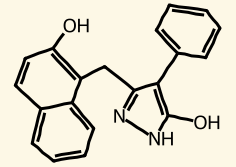 Oc1ccc2ccccc2c1Cc1n[nH]c(O)c1-c1ccccc1